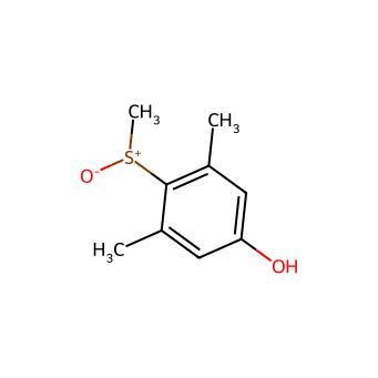 Cc1cc(O)cc(C)c1[S+](C)[O-]